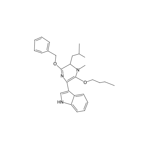 CCCCOC1=C(c2c[nH]c3ccccc23)N=C(OCc2ccccc2)C(CC(C)C)N1C